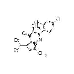 CCC(CC)c1cc(C)n2nc(-c3ccc(Cl)cc3Cl)n(C)c(=O)c12